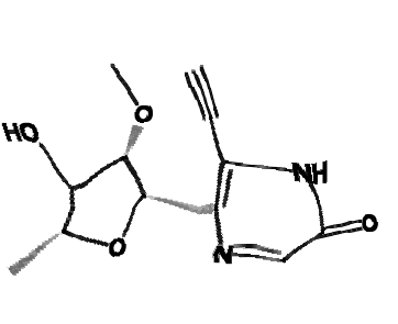 C#Cc1[nH]c(=O)cnc1[C@@H]1O[C@H](C)C(O)[C@@H]1OC